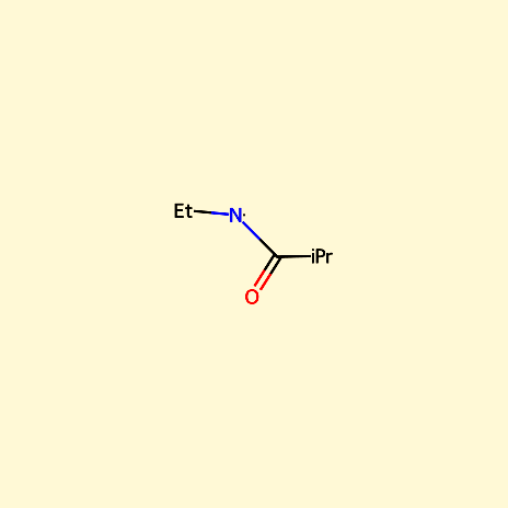 CC[N]C(=O)C(C)C